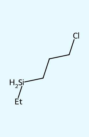 CC[SiH2]CCCCl